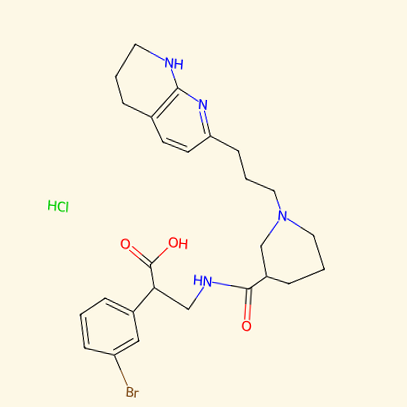 Cl.O=C(NCC(C(=O)O)c1cccc(Br)c1)C1CCCN(CCCc2ccc3c(n2)NCCC3)C1